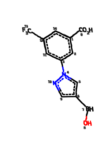 O=C(O)c1cc(-n2cc(BO)cn2)cc(C(F)(F)F)c1